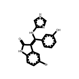 O=C1Nc2ccc(Br)cc2/C1=C(/Nc1c[nH]cn1)c1cccc(O)c1